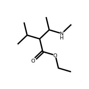 CCOC(=O)C(C(C)C)C(C)NC